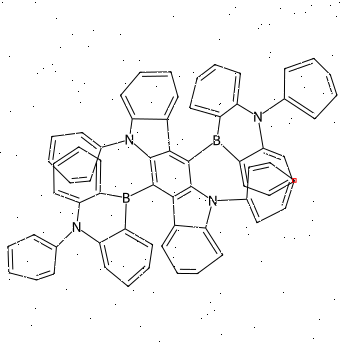 c1ccc(N2c3ccccc3B(c3c4c5ccccc5n(-c5ccccc5)c4c(B4c5ccccc5N(c5ccccc5)c5ccccc54)c4c5ccccc5n(-c5ccccc5)c34)c3ccccc32)cc1